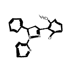 Oc1cccc(Cl)c1C1=NN(c2ccccn2)C(c2ccccc2)C1